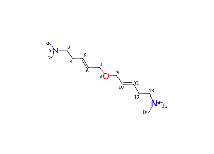 CN(C)CCC=CCOCC=CCCN(C)C